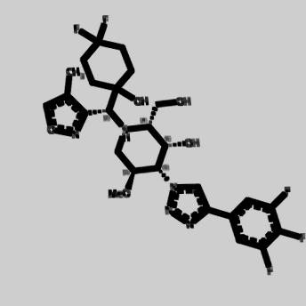 CO[C@H]1C[SH]([C@H](c2nocc2C)C2(O)CCC(F)(F)CC2)[C@H](CO)[C@H](O)[C@@H]1n1cc(-c2cc(F)c(F)c(F)c2)nn1